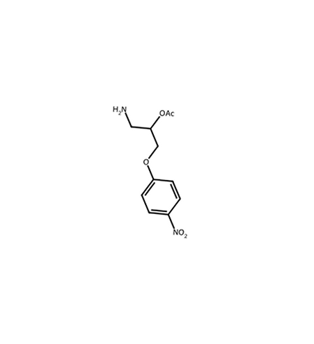 CC(=O)OC(CN)COc1ccc([N+](=O)[O-])cc1